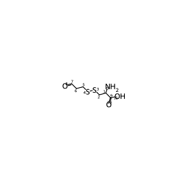 NC(CSSCCC=O)C(=O)O